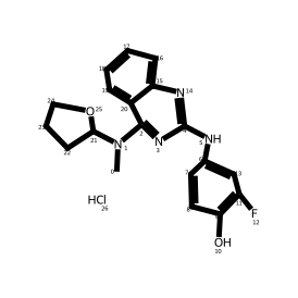 CN(c1nc(Nc2ccc(O)c(F)c2)nc2ccccc12)C1CCCO1.Cl